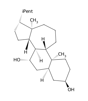 CCC[C@@H](C)[C@H]1CC[C@H]2[C@@H]3[C@@H](O)C[C@@H]4C[C@H](O)CC[C@]4(C)[C@H]3CCC[C@]12C